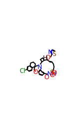 O=C1NS(=O)(=O)CCC/C=C/[C@@H](OCc2nccs2)[C@@H]2CCC2CN2CC3(CCCc4cc(Cl)ccc43)COc3ccc1cc32